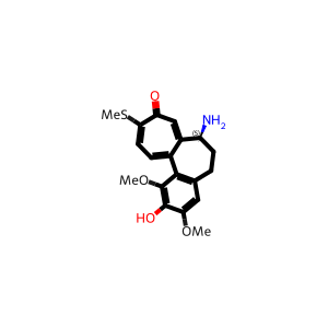 COc1cc2c(c(OC)c1O)-c1ccc(SC)c(=O)cc1[C@@H](N)CC2